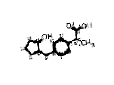 C[C@H](C(=O)O)c1ccc(CC2CCCC2O)cc1